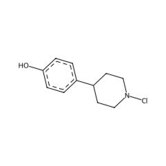 Oc1ccc(C2CCN(Cl)CC2)cc1